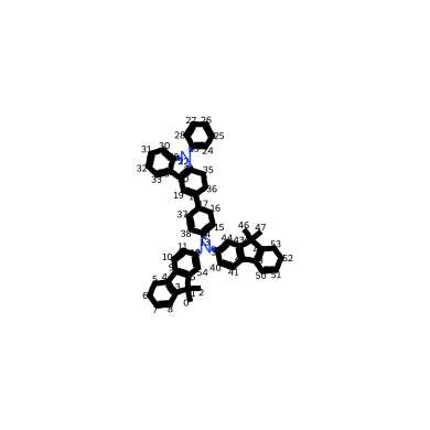 CC1(C)C2=C(CCC=C2)c2ccc(N(C3=CCC(C4=Cc5c(n(-c6ccccc6)c6ccccc56)CC4)C=C3)c3ccc4c(c3)C(C)(C)C3=C4C=CCC3)cc21